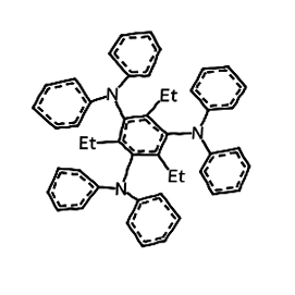 CCc1c(N(c2ccccc2)c2ccccc2)c(CC)c(N(c2ccccc2)c2ccccc2)c(CC)c1N(c1ccccc1)c1ccccc1